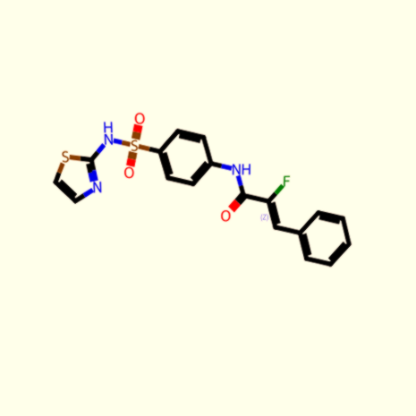 O=C(Nc1ccc(S(=O)(=O)Nc2nccs2)cc1)/C(F)=C/c1ccccc1